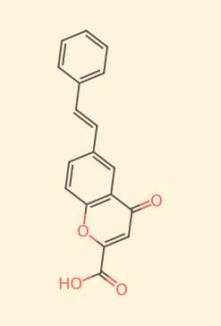 O=C(O)c1cc(=O)c2cc(/C=C/c3ccccc3)ccc2o1